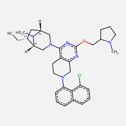 CN1CCCC1COc1nc2c(c(N3C[C@H]4C[C@@H](CC#N)[C@@H](C3)N4C(=O)O)n1)CCN(c1cccc3cccc(Cl)c13)C2